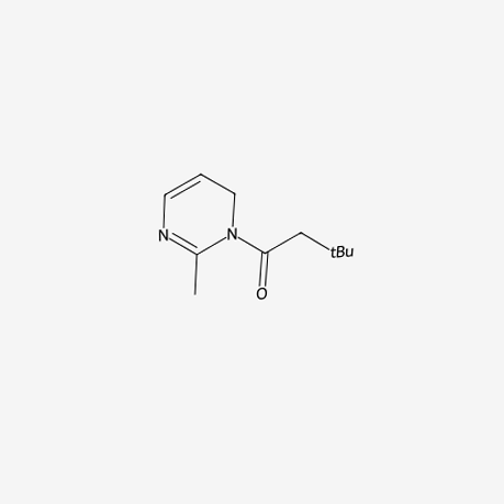 CC1=NC=CCN1C(=O)CC(C)(C)C